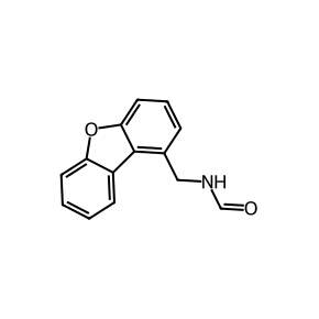 O=CNCc1cccc2oc3ccccc3c12